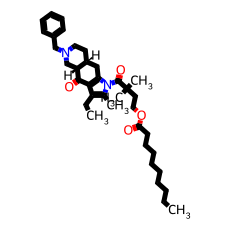 CCCCCCCCCC(=O)OCCC(C)(C)C(=O)n1c(C)c(CC)c2c1C[C@@H]1CCN(Cc3ccccc3)C[C@H]1C2=O